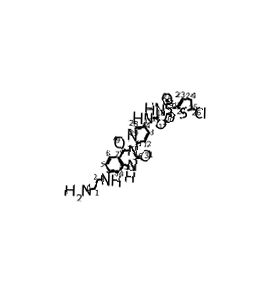 NCCNc1ccc2c(=O)n(-c3ccc(NC(=O)NS(=O)(=O)C4=CCC(Cl)S4)cn3)c(=O)[nH]c2c1